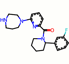 O=C(c1cccc(N2CCCNCC2)n1)N1CCCCC1c1cccc(F)c1